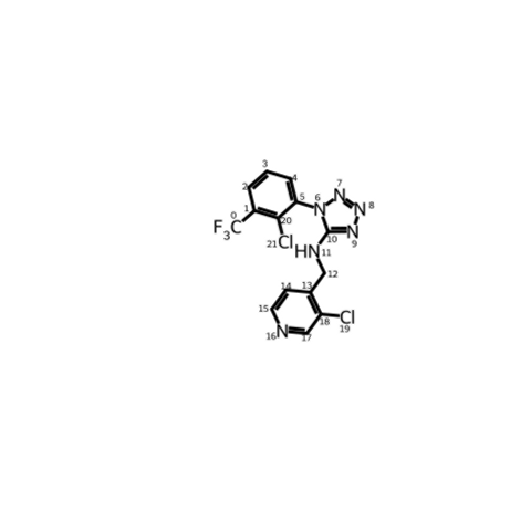 FC(F)(F)c1cccc(-n2nnnc2NCc2ccncc2Cl)c1Cl